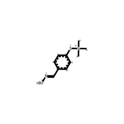 CCCCN=Cc1ccc(S[Si](C)(C)C)cc1